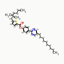 CCCCCCCCCCc1cnc(-c2ccc(OC(=O)c3ccc(C[Si](C)(C)CCCC)s3)cc2)nc1